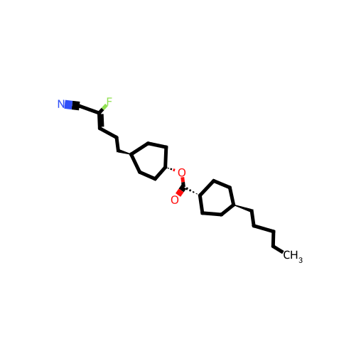 CCCCC[C@H]1CC[C@H](C(=O)O[C@H]2CC[C@H](CCC=C(F)C#N)CC2)CC1